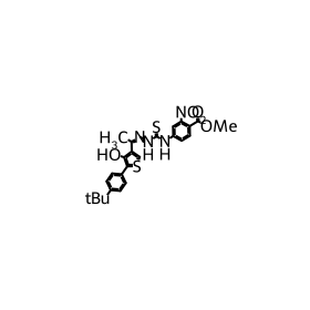 COC(=O)c1ccc(NC(=S)N/N=C(/C)c2csc(-c3ccc(C(C)(C)C)cc3)c2O)cc1[N+](=O)[O-]